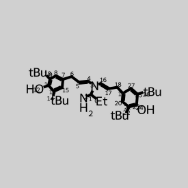 CCC(N)N(C=CCc1cc(C(C)(C)C)c(O)c(C(C)(C)C)c1)C=CCc1cc(C(C)(C)C)c(O)c(C(C)(C)C)c1